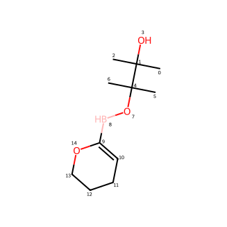 CC(C)(O)C(C)(C)OBC1=CCCCO1